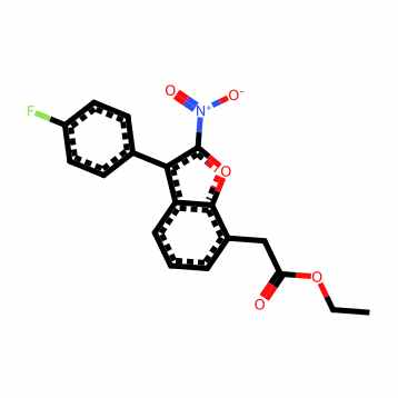 CCOC(=O)Cc1cccc2c(-c3ccc(F)cc3)c([N+](=O)[O-])oc12